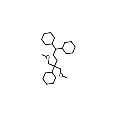 COCC(CCC(C1CCCCC1)C1CCCCC1)(COC)C1CCCCC1